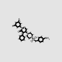 Nc1ccc(CS(=O)(=O)N2CCN(c3cnn(-c4cc(F)cc(F)c4)c(=O)c3-c3ccccc3)CC2)cc1